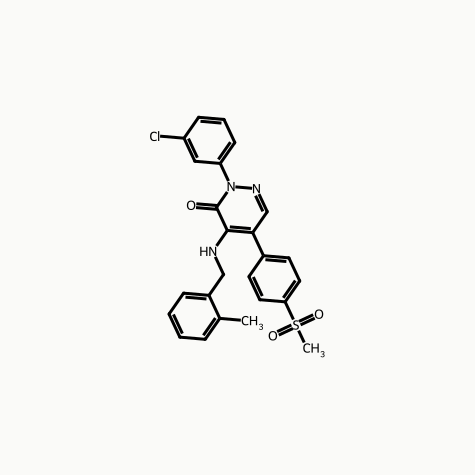 Cc1ccccc1CNc1c(-c2ccc(S(C)(=O)=O)cc2)cnn(-c2cccc(Cl)c2)c1=O